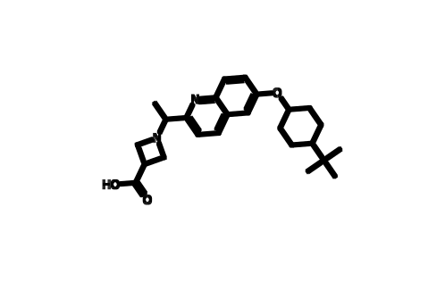 CC(c1ccc2cc(OC3CCC(C(C)(C)C)CC3)ccc2n1)N1CC(C(=O)O)C1